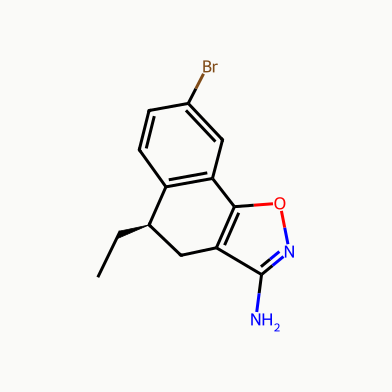 CC[C@@H]1Cc2c(N)noc2-c2cc(Br)ccc21